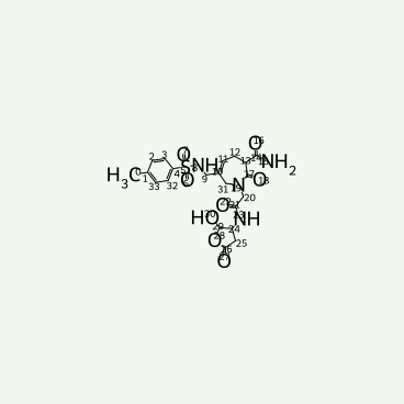 Cc1ccc(S(=O)(=O)NCC2=CCC(C(N)=O)C(=O)N(CC(=O)NC3CC(=O)OC3O)C2)cc1